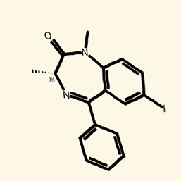 C[C@H]1N=C(c2ccccc2)c2cc(I)ccc2N(C)C1=O